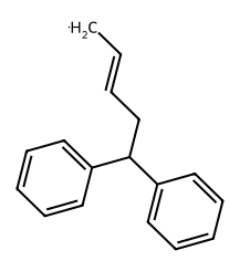 [CH2]C=CCC(c1ccccc1)c1ccccc1